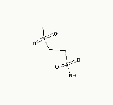 CS(=O)(=O)CCS([NH])(=O)=O